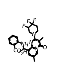 Cc1cc([C@@H](C)Nc2ccccc2C(=O)O)c2nc(N3CCC(F)(F)C(F)C3)c(C)c(=O)n2c1